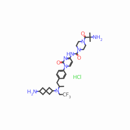 CC(Cc1ccc(-n2ccc(NC(=O)N3CCN(C(=O)C(C)(C)N)CC3)nc2=O)cc1)N(CC(F)(F)F)C1CC2(CC(N)C2)C1.Cl